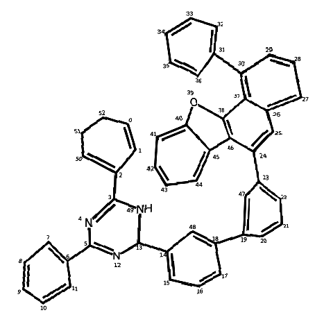 C1=CC(C2=NC(c3ccccc3)=NC(c3cccc(-c4cccc(-c5cc6cccc(-c7ccccc7)c6c6oc7ccccc7c56)c4)c3)N2)=CCC1